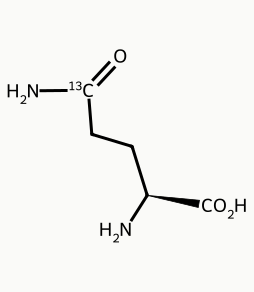 N[C@@H](CC[13C](N)=O)C(=O)O